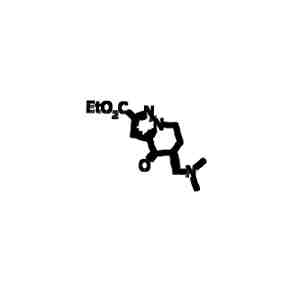 CCOC(=O)c1cc2n(n1)CC/C(=C\N(C)C)C2=O